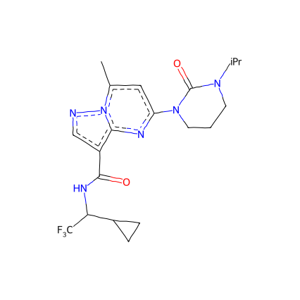 Cc1cc(N2CCCN(C(C)C)C2=O)nc2c(C(=O)NC(C3CC3)C(F)(F)F)cnn12